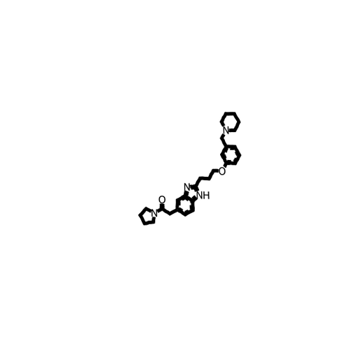 O=C(Cc1ccc2[nH]c(CCCOc3cccc(CN4CCCCC4)c3)nc2c1)N1CCCC1